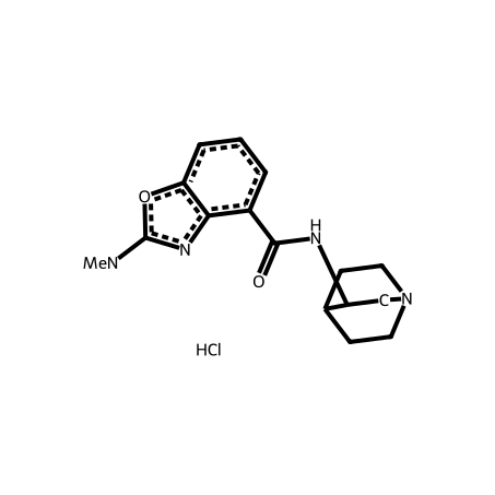 CNc1nc2c(C(=O)NC3CN4CCC3CC4)cccc2o1.Cl